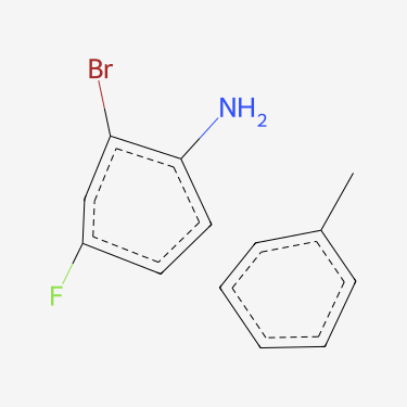 Cc1ccccc1.Nc1ccc(F)cc1Br